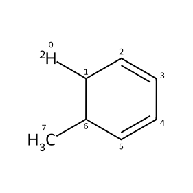 [2H]C1C=CC=CC1C